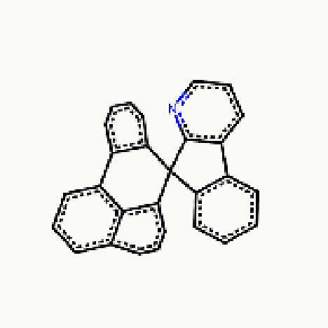 c1ccc2c(c1)-c1cccnc1C21c2ccccc2-c2cccc3cccc1c23